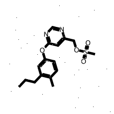 CCCc1cc(Oc2cc(COS(C)(=O)=O)ncn2)ccc1C